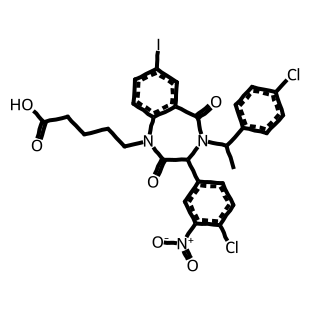 CC(c1ccc(Cl)cc1)N1C(=O)c2cc(I)ccc2N(CCCCC(=O)O)C(=O)C1c1ccc(Cl)c([N+](=O)[O-])c1